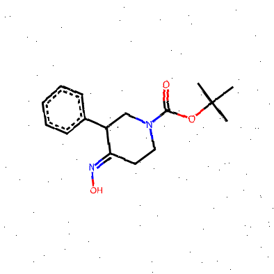 CC(C)(C)OC(=O)N1CCC(=NO)C(c2ccccc2)C1